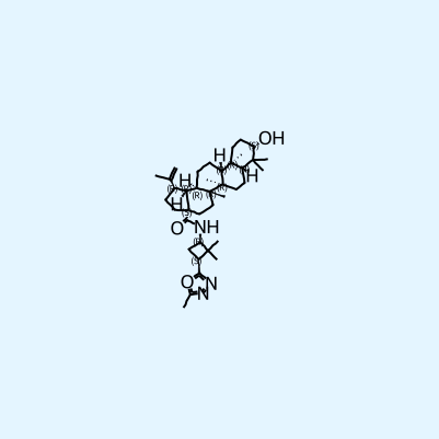 C=C(C)[C@@H]1CC[C@]2(C(=O)N[C@@H]3C[C@H](c4nnc(C)o4)C3(C)C)CC[C@]3(C)[C@H](CC[C@@H]4[C@@]5(C)CC[C@H](O)C(C)(C)[C@@H]5CC[C@]43C)[C@@H]12